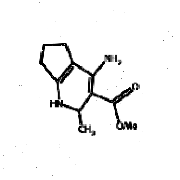 COC(=O)C1=C(N)C2=C(CCC2)NC1C